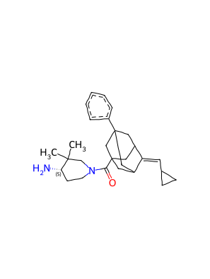 CC1(C)CN(C(=O)C23CC4CC(c5ccccc5)(CC(C2)C4=CC2CC2)C3)CC[C@@H]1N